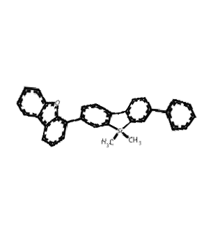 C[Si]1(C)c2cc(-c3ccccc3)ccc2-c2ccc(-c3cccc4c3oc3ccccc34)cc21